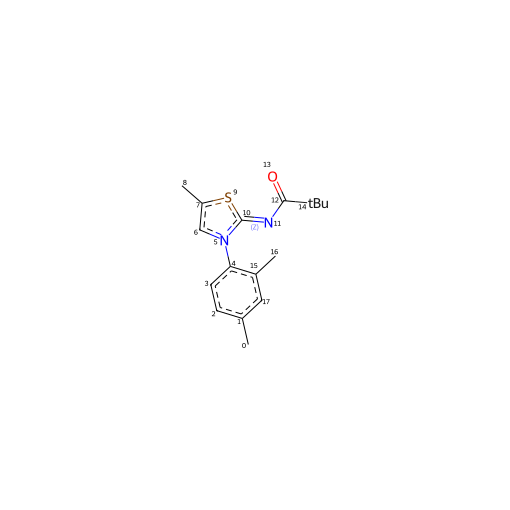 Cc1ccc(-n2cc(C)s/c2=N\C(=O)C(C)(C)C)c(C)c1